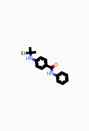 CCC(C)(C)Nc1ccc(C(=O)Nc2ccccc2)cc1